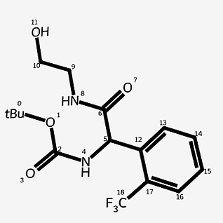 CC(C)(C)OC(=O)NC(C(=O)NCCO)c1ccccc1C(F)(F)F